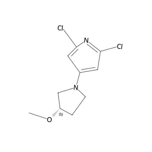 CO[C@H]1CCN(c2cc(Cl)nc(Cl)c2)C1